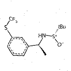 C[C@H](N[S@@+]([O-])C(C)(C)C)c1cccc(SC(F)(F)F)c1